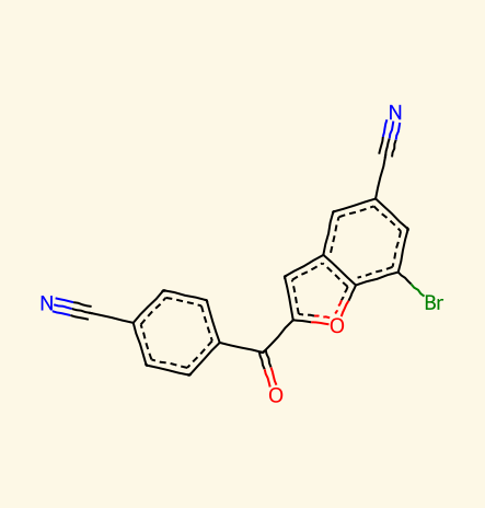 N#Cc1ccc(C(=O)c2cc3cc(C#N)cc(Br)c3o2)cc1